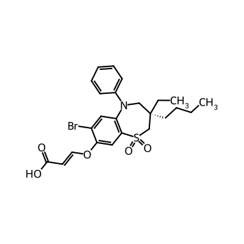 CCCC[C@@]1(CC)CN(c2ccccc2)c2cc(Br)c(O/C=C/C(=O)O)cc2S(=O)(=O)C1